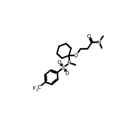 CN(C)C(=O)CCOC1(N(C)S(=O)(=O)c2ccc(C(F)(F)F)cc2)CCCCC1